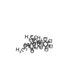 CC(C)C[C@H](NC(=O)OC(C)(C)C)C(=O)NCC(=O)Oc1c(Cl)c(Cl)c(Cl)c(Cl)c1Cl